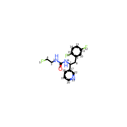 O=C(NCCF)NC(Cc1cc(F)ccc1F)c1cccnc1